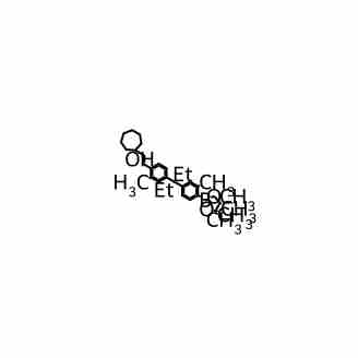 CCC(CC)(c1ccc(/C=C/C2(O)CCCCCC2)c(C)c1)c1ccc(B2OC(C)(C)C(C)(C)O2)c(C)c1